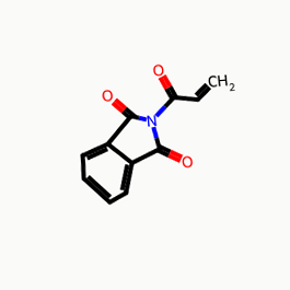 C=CC(=O)N1C(=O)c2ccccc2C1=O